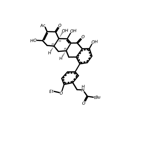 CCOc1ccc(-c2ccc(O)c3c2C[C@H]2C[C@H]4CC(O)=C(C(C)=O)C(=O)[C@@]4(O)C(O)=C2C3=O)cc1CNC(=O)C(C)(C)C